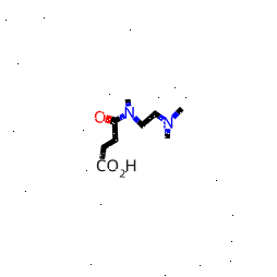 CN(C)CCN(C)C(=O)CCC(=O)O